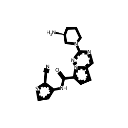 N#Cc1sccc1NC(=O)c1ccc2cnc(N3CCC[C@H](N)C3)nn12